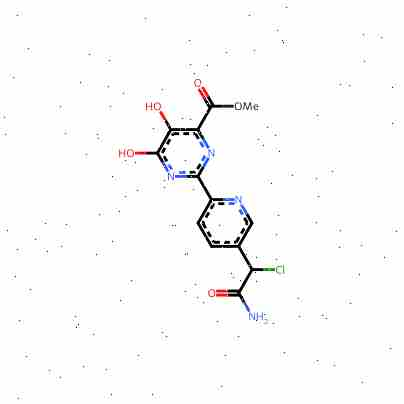 COC(=O)c1nc(-c2ccc(C(Cl)C(N)=O)cn2)nc(O)c1O